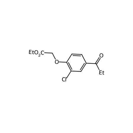 CCOC(=O)COc1ccc(C(=O)CC)cc1Cl